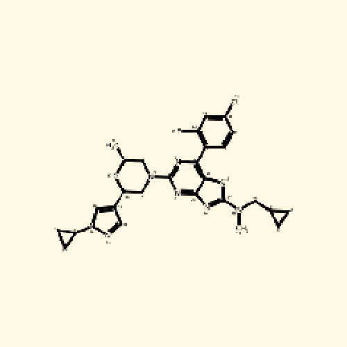 C[C@H]1CN(c2nc(-c3ccc(Cl)cc3F)c3sc(N(C)CC4CC4)nc3n2)C[C@@H](c2cnn(C3CC3)c2)O1